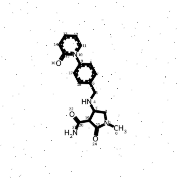 CN1CC(NCc2ccc(-n3ccccc3=O)cc2)C(C(N)=O)C1=O